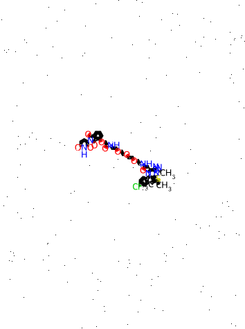 Cc1sc2c(c1C)C(c1ccc(Cl)cc1)=N[C@@H](CC(=O)NCCOCCOCCOCCNC(=O)COc1cccc3c1C(=O)N(C1CCC(=O)NC1=O)C3=O)c1nnc(C)n1-2